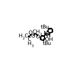 C=C(C)C(=O)OC(C)COc1cc(-n2nc3cccc(C(C)(C)C)c3n2)c(O)c(C(C)(C)C)c1